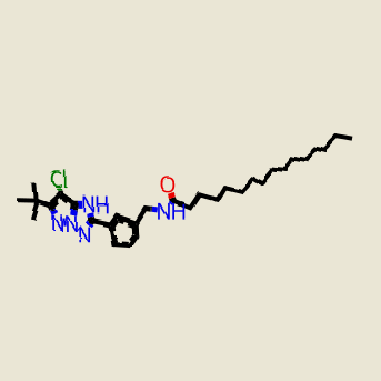 CCCCCCCCCCCCCCCC(=O)NCc1cccc(-c2nn3nc(C(C)(C)C)c(Cl)c3[nH]2)c1